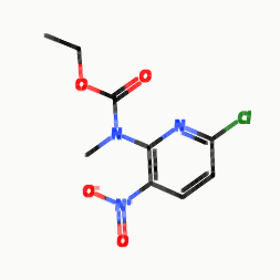 CCOC(=O)N(C)c1nc(Cl)ccc1[N+](=O)[O-]